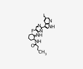 CCCC(=O)NC1CCCC[C@H]1Nc1nc(-c2c[nH]c3ncc(I)cc23)ncc1F